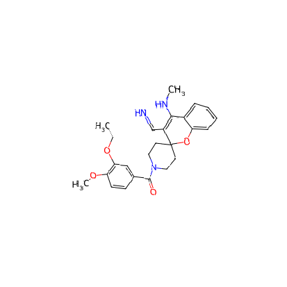 CCOc1cc(C(=O)N2CCC3(CC2)Oc2ccccc2C(NC)=C3C=N)ccc1OC